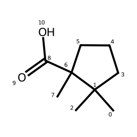 CC1(C)CCCC1(C)C(=O)O